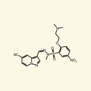 CN(C)CCOc1ccc([N+](=O)[O-])cc1S(=O)(=O)N(C)/N=C\c1cnn2ccc(C#N)cc12